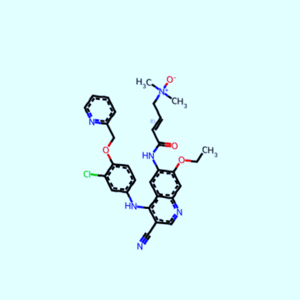 CCOc1cc2ncc(C#N)c(Nc3ccc(OCc4ccccn4)c(Cl)c3)c2cc1NC(=O)/C=C/C[N+](C)(C)[O-]